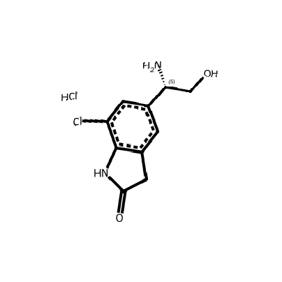 Cl.N[C@H](CO)c1cc(Cl)c2c(c1)CC(=O)N2